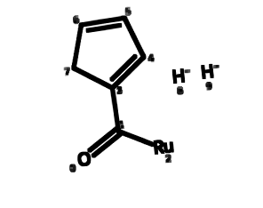 O=[C]([Ru])C1=CC=CC1.[H-].[H-]